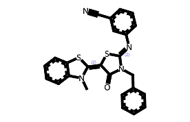 CN1/C(=C2/S/C(=N\c3cccc(C#N)c3)N(Cc3ccccc3)C2=O)Sc2ccccc21